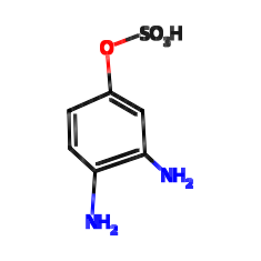 Nc1ccc(OS(=O)(=O)O)cc1N